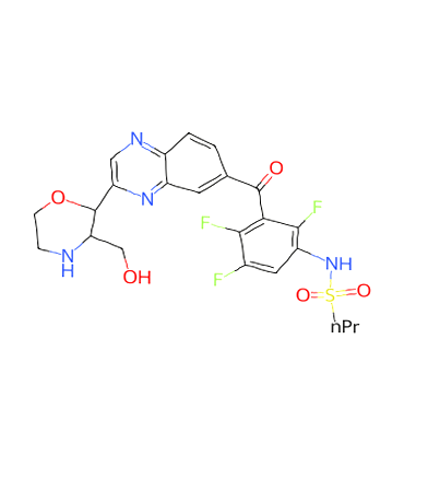 CCCS(=O)(=O)Nc1cc(F)c(F)c(C(=O)c2ccc3ncc(C4OCCNC4CO)nc3c2)c1F